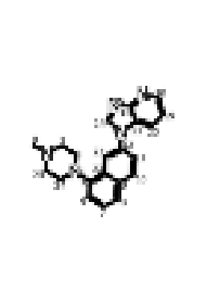 CN1CCN(c2cccc3ccc(-n4cnc5ncccc54)cc23)CC1